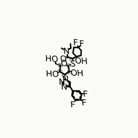 CCN(C)C(=O)[C@@H](S[C@@H]1O[C@H](CO)[C@H](O)[C@H](n2cc(-c3cc(F)c(F)c(F)c3)nn2)[C@H]1O)C1(O)CCC(F)(F)CC1